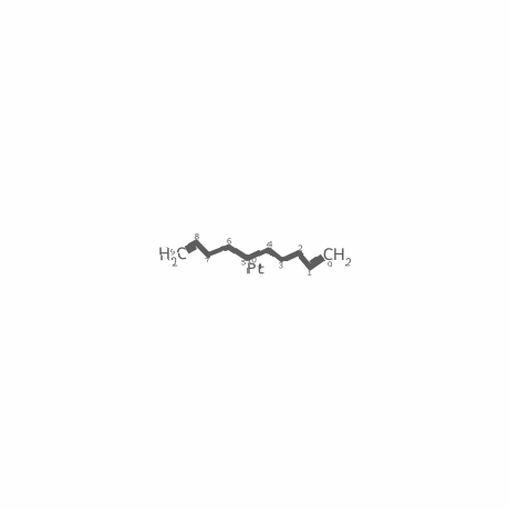 C=CCCCCCCC=C.[Pt]